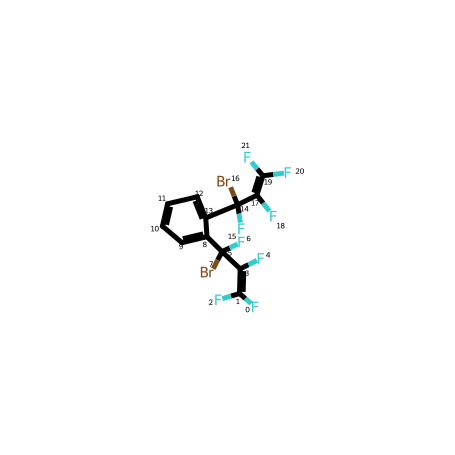 FC(F)=C(F)C(F)(Br)c1ccccc1C(F)(Br)C(F)=C(F)F